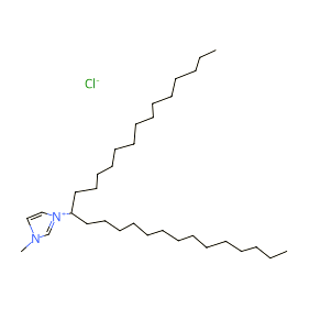 CCCCCCCCCCCCCCC(CCCCCCCCCCCCCC)[n+]1ccn(C)c1.[Cl-]